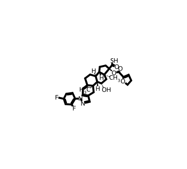 C[C@]12Cc3cnn(-c4ccc(F)cc4F)c3C=C1CC[C@@H]1[C@@H]2[C@@H](O)C[C@@]2(C)[C@H]1CC[C@]2(OC(=O)C1=CCCO1)C(=O)S